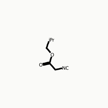 [C-]#[N+]CC(=O)OCC(C)C